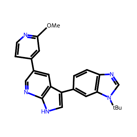 COc1cc(-c2cnc3[nH]cc(-c4ccc5ncn(C(C)(C)C)c5c4)c3c2)ccn1